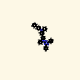 C1=Cc2c(n(C3C=CC(c4ccccc4)=CC3)c3ccc(-c4ccc5c(c4)c4ccccc4n5-c4nc(-c5ccccc5)nc(-c5ccccc5)n4)cc23)CC1